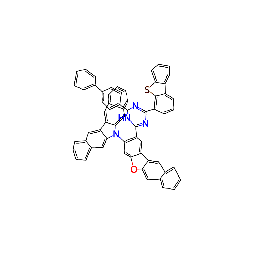 c1ccc(-c2ccc(C3N=C(c4cccc5c4sc4ccccc45)N=C(c4cc5c(cc4-n4c6cc7ccccc7cc6c6cc7ccccc7cc64)oc4cc6ccccc6cc45)N3)cc2)cc1